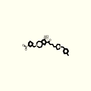 Cc1ccc(CN2CCC(CCCC(=O)c3ccc4c(c3)CCN(Cc3cccc([N+](=O)[O-])c3)CC4)CC2)cc1.Cl.Cl